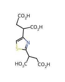 O=C(O)CC(C(=O)O)c1csc(C(CC(=O)O)C(=O)O)n1